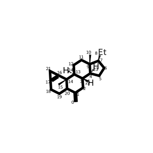 C=C1C[C@H]2[C@@H]3CC[C@H](CC)[C@@]3(C)CC[C@@H]2[C@@]2(C)C3=C(CCC12)C3